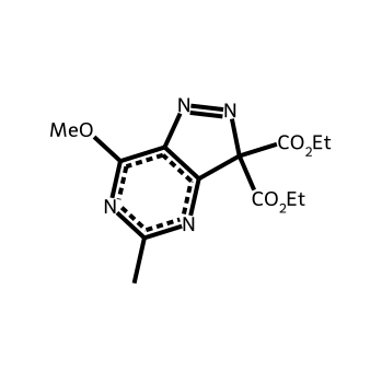 CCOC(=O)C1(C(=O)OCC)N=Nc2c(OC)nc(C)nc21